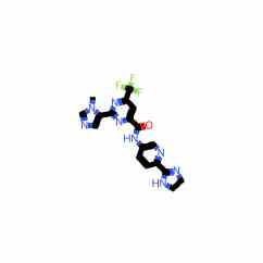 Cn1cncc1-c1nc(C(=O)Nc2ccc(C3=NCCN3)nc2)cc(C(F)(F)F)n1